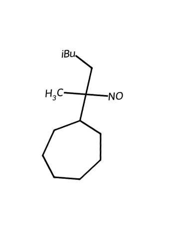 CCC(C)CC(C)(N=O)C1CCCCCC1